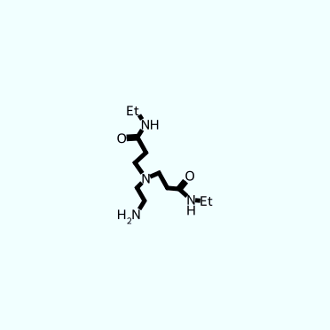 CCNC(=O)CCN(CCN)CCC(=O)NCC